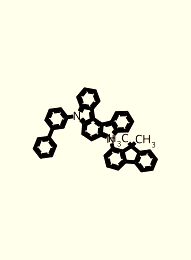 CC1(C)c2ccccc2-c2cccc(-n3c4ccccc4c4c5c6ccccc6n(-c6cccc(-c7ccccc7)c6)c5ccc43)c21